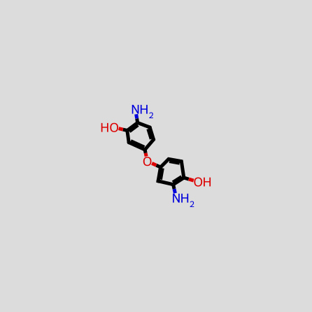 Nc1cc(Oc2ccc(N)c(O)c2)ccc1O